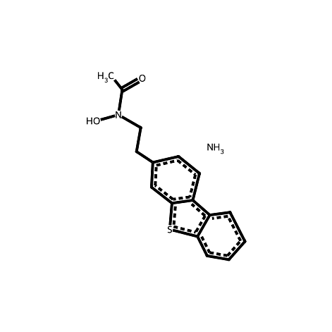 CC(=O)N(O)CCc1ccc2c(c1)sc1ccccc12.N